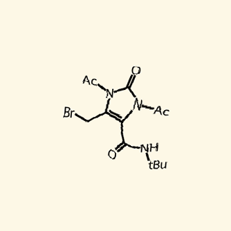 CC(=O)n1c(CBr)c(C(=O)NC(C)(C)C)n(C(C)=O)c1=O